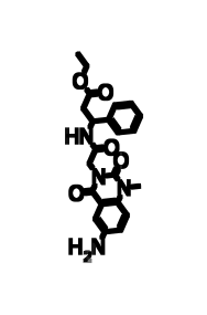 CCOC(=O)CC(NC(=O)Cn1c(=O)c2cc(N)ccc2n(C)c1=O)c1ccccc1